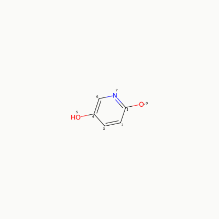 [O]c1ccc(O)cn1